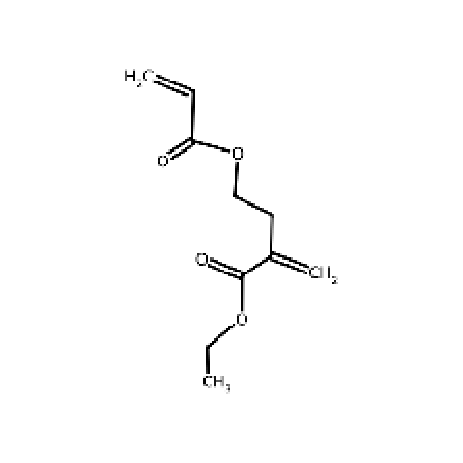 C=CC(=O)OCCC(=C)C(=O)OCC